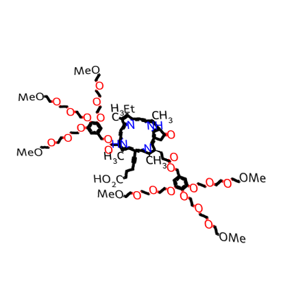 CCC1=C(C)c2cc3[nH]c(c(C)c3C(=O)OCc3cc(OCCOCCOCCOC)c(OCCOCCOCCOC)c(OCCOCCOCCOC)c3)c(C#CCCCC(=O)O)c3nc(c4c5[nH]c(cc1n2)c(C)c5C(=O)C4)[C@@H](CCC(=O)OCc1cc(OCCOCCOCCOC)c(OCCOCCOCCOC)c(OCCOCCOCCOC)c1)[C@@H]3C